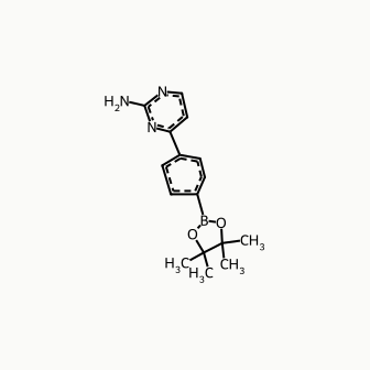 CC1(C)OB(c2ccc(-c3ccnc(N)n3)cc2)OC1(C)C